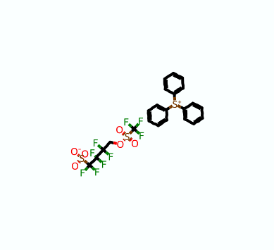 O=S(=O)([O-])C(F)(F)C(F)(F)C(F)(F)COS(=O)(=O)C(F)(F)F.c1ccc([S+](c2ccccc2)c2ccccc2)cc1